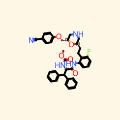 COC(=O)N[C@H](C(=O)Nc1cccc(F)c1CC[C@@H]1CNC[C@@H](COc2ccc(C#N)cc2)O1)C(c1ccccc1)c1ccccc1